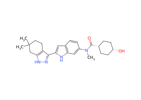 CN(c1ccc2cc(-c3n[nH]c4c3CCC(C)(C)C4)[nH]c2c1)C(=O)[C@H]1CC[C@@H](O)CC1